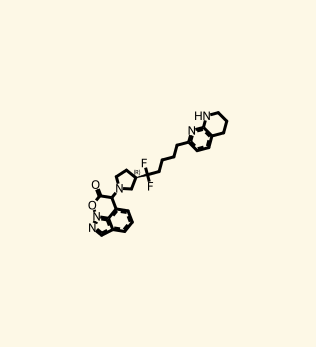 O=C1On2ncc3cccc(c32)C1N1CC[C@@H](C(F)(F)CCCCc2ccc3c(n2)NCCC3)C1